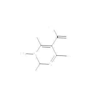 CCC(C)C1=NC(C)N(N)C(Cl)=C1C(=O)S